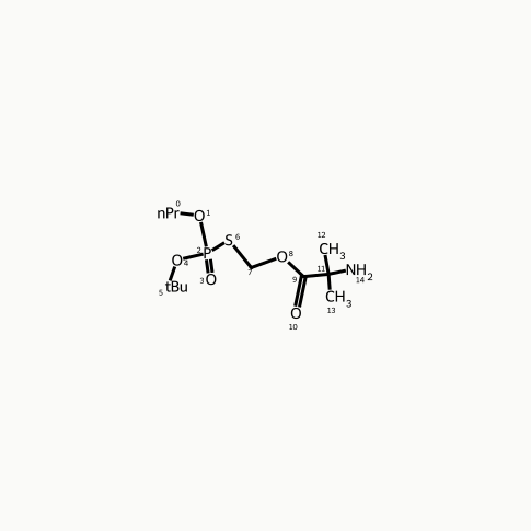 CCCOP(=O)(OC(C)(C)C)SCOC(=O)C(C)(C)N